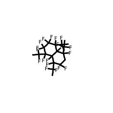 CC(F)(F)C1(F)CC(F)(F)C(F)(C(C)(F)F)C2(F)C(F)(C(C)(F)F)C(F)(F)C(F)(F)C(F)(C(C)(F)F)C12F